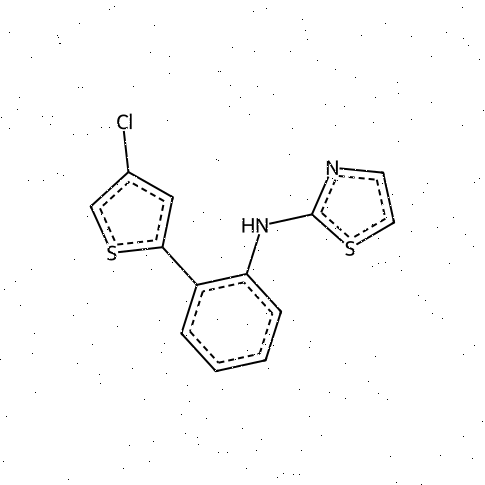 Clc1csc(-c2ccccc2Nc2nccs2)c1